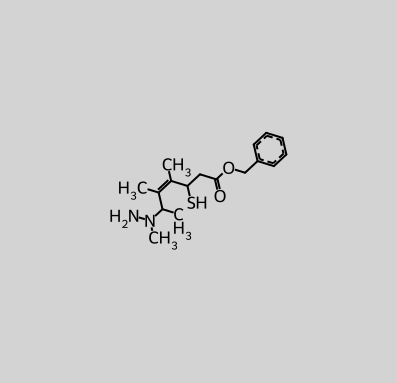 C/C(=C(\C)C(C)N(C)N)C(S)CC(=O)OCc1ccccc1